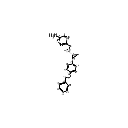 Nc1cnc(CN[C@@H]2C[C@H]2c2ccc(OCc3ccccc3)cc2)nn1